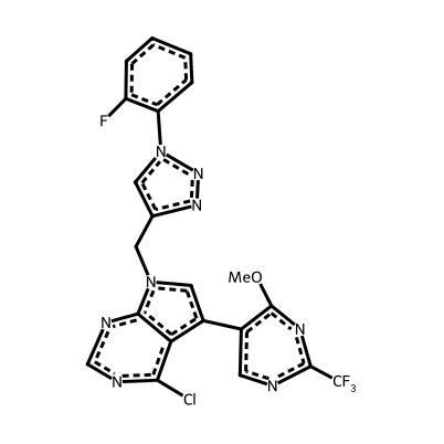 COc1nc(C(F)(F)F)ncc1-c1cn(Cc2cn(-c3ccccc3F)nn2)c2ncnc(Cl)c12